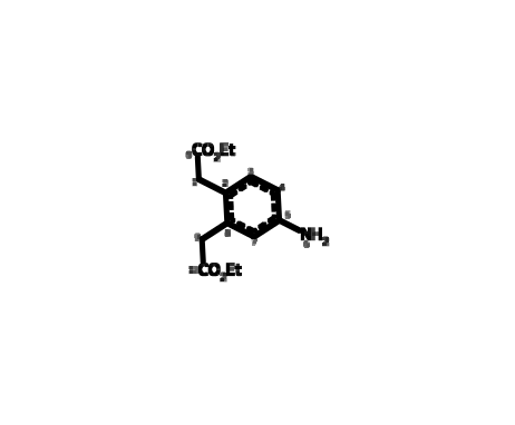 CCOC(=O)Cc1ccc(N)cc1CC(=O)OCC